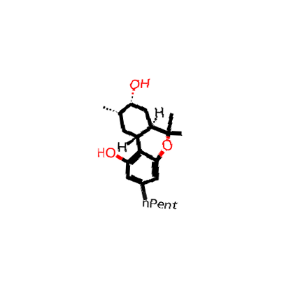 CCCCCc1cc(O)c2c(c1)OC(C)(C)[C@@H]1C[C@@H](O)[C@@H](C)C[C@@H]21